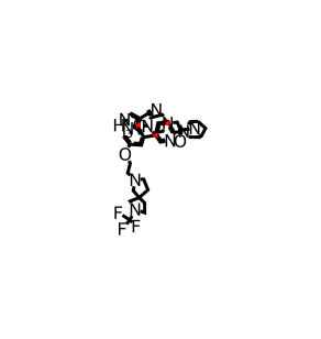 CN1CCN(CC(=O)N2C3CC2CN(c2ccc(-c4cc(OCCN5CCC6(CCN(C(F)(F)F)C6)C5)cn5ncc(C#N)c45)cn2)C3)CC1